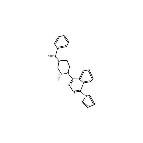 C[C@@H]1CN(C(=O)c2ccccc2)CCN1c1nnc(-n2cccc2)c2ccccc12